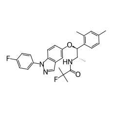 Cc1ccc([C@H](Oc2ccc3c(cnn3-c3ccc(F)cc3)c2)[C@H](C)NC(=O)C(C)(C)F)c(C)c1